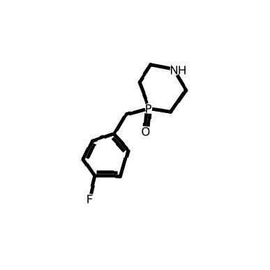 O=P1(Cc2ccc(F)cc2)CCNCC1